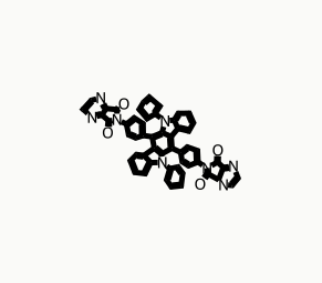 O=C1c2nccnc2C(=O)N1c1ccc(-c2c3c4ccccc4n(-c4ccccc4)c3c(-c3ccc(N4C(=O)c5nccnc5C4=O)cc3)c3c4ccccc4n(-c4ccccc4)c23)cc1